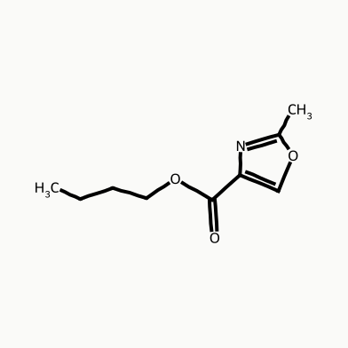 CCCCOC(=O)c1coc(C)n1